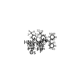 CC(C)(C)c1ccnc(-c2nc(C(F)(F)F)n[nH]2)c1.CC(C)(C)c1ccnc(-c2nc(C(F)(F)F)n[nH]2)c1.PC(c1ccccc1)c1ccccc1.[Os]